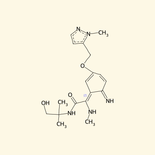 CN/C(C(=O)NC(C)(C)CO)=C1/C=C(OCc2ccnn2C)C=CC1=N